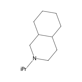 CC(C)N1CCC2CCCCC2C1